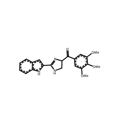 COc1cc(C(=O)C2CNC(c3cc4ccccc4[nH]3)=N2)cc(OC)c1OC